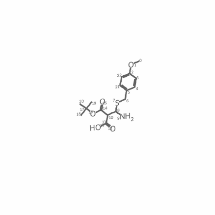 COc1ccc(CSC(N)C(C(=O)O)C(=O)OC(C)(C)C)cc1